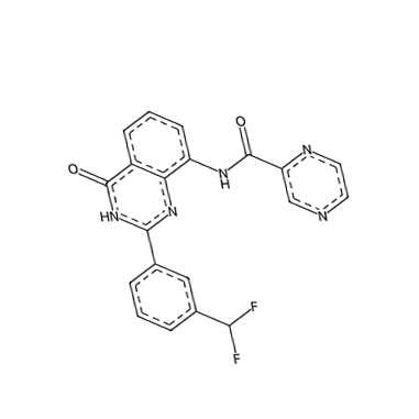 O=C(Nc1cccc2c(=O)[nH]c(-c3cccc(C(F)F)c3)nc12)c1cnccn1